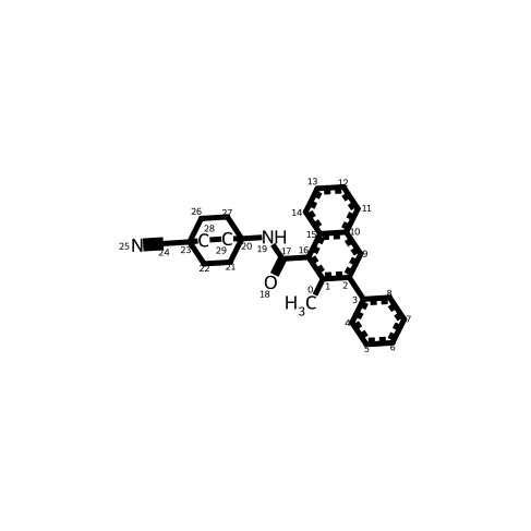 Cc1c(-c2ccccc2)cc2ccccc2c1C(=O)NC12CCC(C#N)(CC1)CC2